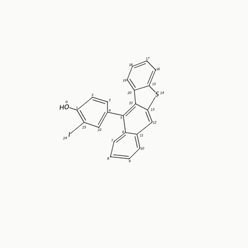 Oc1ccc(-c2c3ccccc3cc3sc4ccccc4c23)cc1I